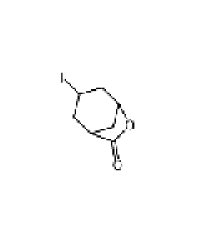 O=C1OC2CC(I)CC1C2